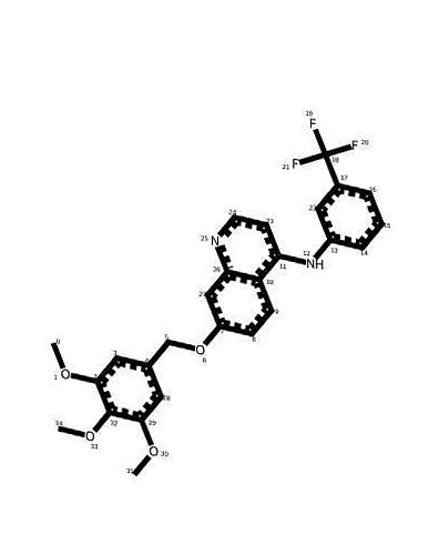 COc1cc(COc2ccc3c(Nc4cccc(C(F)(F)F)c4)ccnc3c2)cc(OC)c1OC